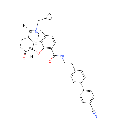 N#Cc1ccc(-c2ccc(CCNC(=O)c3ccc4c5c3O[C@H]3C(=O)CCC6[C@@H](C4)N(CC4CC4)CC[C@@]563)cc2)cc1